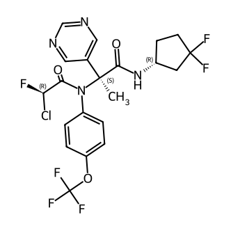 C[C@@](C(=O)N[C@@H]1CCC(F)(F)C1)(c1cncnc1)N(C(=O)[C@H](F)Cl)c1ccc(OC(F)(F)F)cc1